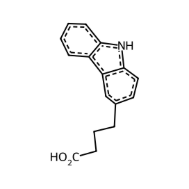 O=C(O)CCCc1ccc2[nH]c3ccccc3c2c1